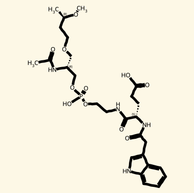 CO[C@H](C)CCOC[C@H](COP(=O)(O)OCCNC(=O)[C@H](CCC(=O)O)NC(=O)Cc1c[nH]c2ccccc12)NC(C)=O